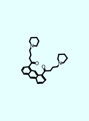 O=C(CCCN1CCCCC1)c1cccc2cc3cccc(C(=O)CCCN4CCCCC4)c3cc12